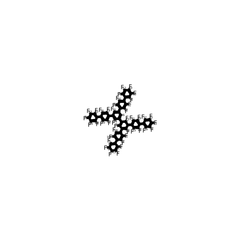 FC1=C(F)C(F)C(F)C(F)=C1c1c(F)c(F)c(C2=C(F)C(c3c(F)c(F)c(-c4c(F)c(F)c(F)c(F)c4F)c(F)c3F)C(F)C(c3cc(-c4c(F)c(F)c(-c5c(F)c(F)c(F)c(F)c5F)c(F)c4F)c(F)c(-c4c(F)c(F)c(-c5c(F)c(F)c(F)c(F)c5F)c(F)c4F)c3F)=C2F)c(F)c1F